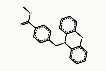 COC(=O)c1ccc(CN2c3ccccc3Sc3ccccc32)cc1